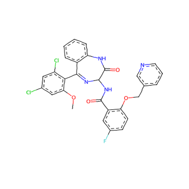 COc1cc(Cl)cc(Cl)c1C1=NC(NC(=O)c2cc(F)ccc2OCc2cccnc2)C(=O)Nc2ccccc21